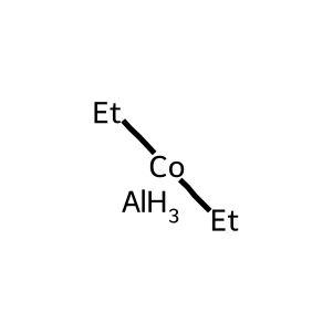 C[CH2][Co][CH2]C.[AlH3]